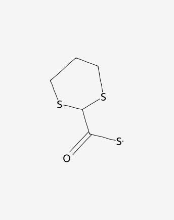 O=C([S])C1SCCCS1